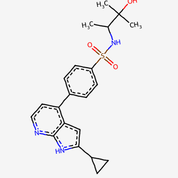 CC(NS(=O)(=O)c1ccc(-c2ccnc3[nH]c(C4CC4)cc23)cc1)C(C)(C)O